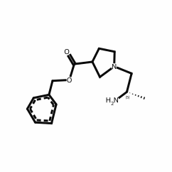 C[C@H](N)CN1CCC(C(=O)OCc2ccccc2)C1